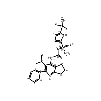 CC(C)c1c(-c2ccccc2)nc2c(c1NC(=O)N=[S@@](N)(=O)c1cnc(C(C)(C)O)s1)CCC2